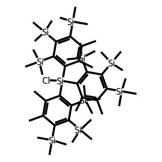 Cc1c(C)c([Si](Cl)(c2c(C)c(C)c([Si](C)(C)C)c([Si](C)(C)C)c2[Si](C)(C)C)c2c(C)c(C)c([Si](C)(C)C)c([Si](C)(C)C)c2[Si](C)(C)C)c([Si](C)(C)C)c([Si](C)(C)C)c1[Si](C)(C)C